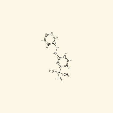 CC(C)(C)c1cc(OCc2ccccn2)ncn1